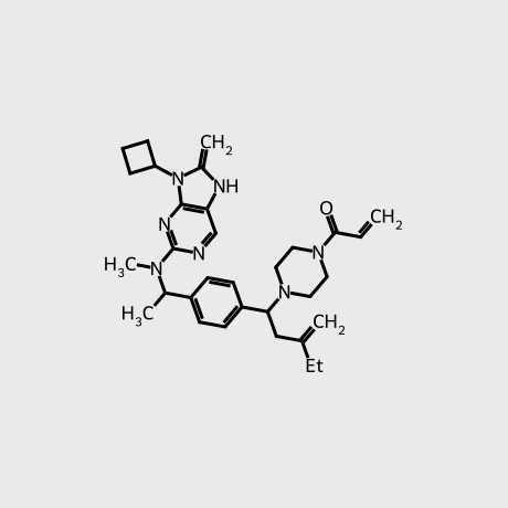 C=CC(=O)N1CCN(C(CC(=C)CC)c2ccc(C(C)N(C)c3ncc4c(n3)N(C3CCC3)C(=C)N4)cc2)CC1